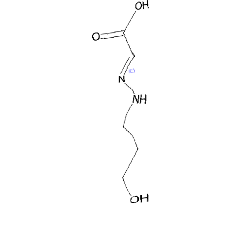 O=C(O)/C=N/NCCCO